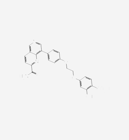 Cc1cc(OCCOc2ccc(-c3cncc4ccc(C(N)=O)nc34)cc2)ccc1C(=O)O